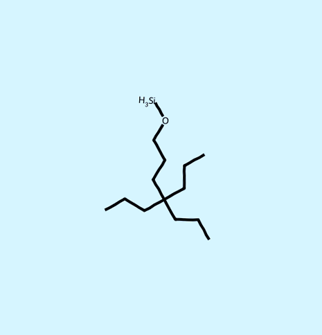 CCCC(CCC)(CCC)CCCO[SiH3]